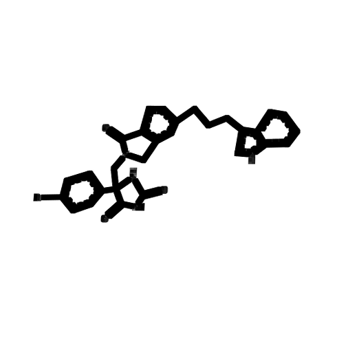 O=C1NC(=O)C(CN2Cc3cc(CCCc4c[nH]c5ccccc45)ccc3C2=O)(c2ccc(Br)cc2)N1